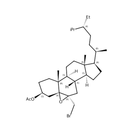 CC[C@H](CC[C@@H](C)[C@H]1CC[C@H]2[C@@H]3C[C@@]4(CBr)O[C@@]45C[C@@H](OC(C)=O)CC[C@]5(C)[C@H]3CC[C@]12C)C(C)C